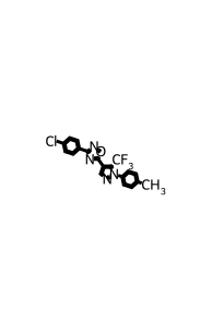 Cc1ccc(-n2ncc(-c3nc(-c4ccc(Cl)cc4)no3)c2C(F)(F)F)cc1